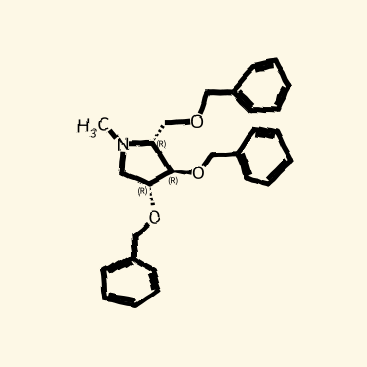 CN1C[C@@H](OCc2ccccc2)[C@H](OCc2ccccc2)[C@H]1COCc1ccccc1